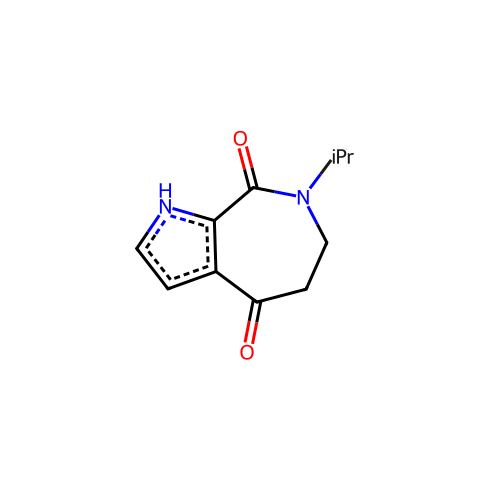 CC(C)N1CCC(=O)c2cc[nH]c2C1=O